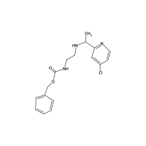 CC(NCCNC(=O)OCc1ccccc1)c1cc(Cl)ccn1